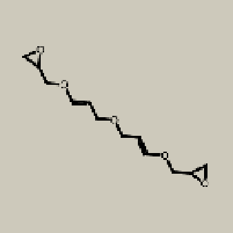 C(=COCC1CO1)COCC=COCC1CO1